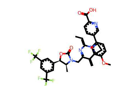 C=C(/C(CN1C(=O)O[C@H](c2cc(C(F)(F)F)cc(C(F)(F)F)c2)[C@@H]1C)=N\C(=C/C)N1CCC1)c1cc(-c2ccc(C(=O)O)nc2)ccc1OC